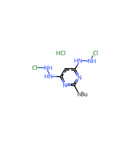 CCCCc1nc(NNCl)cc(NNCl)n1.Cl